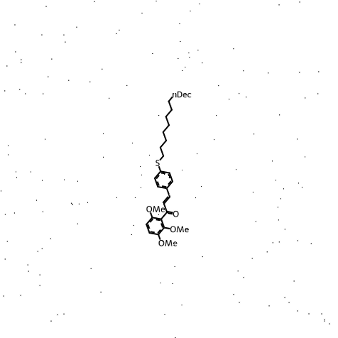 CCCCCCCCCCCCCCCCCCSc1ccc(/C=C/C(=O)c2c(OC)ccc(OC)c2OC)cc1